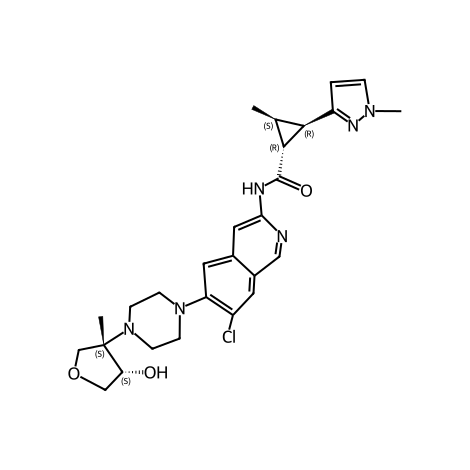 C[C@@H]1[C@@H](C(=O)Nc2cc3cc(N4CCN([C@@]5(C)COC[C@H]5O)CC4)c(Cl)cc3cn2)[C@@H]1c1ccn(C)n1